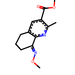 CO/N=C1\CCCc2cc(C(=O)OC)c(C)nc21